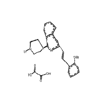 CCN1CCN(c2nc(C=Cc3ccccc3OC)cc3ccccc23)CC1.O=C(O)C(=O)O